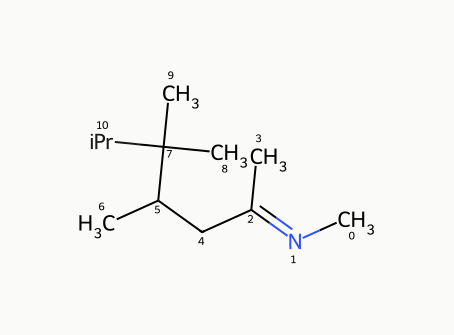 C/N=C(\C)CC(C)C(C)(C)C(C)C